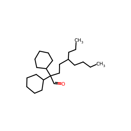 CCCCC(CCC)CCC(C=O)(C1CCCCC1)C1CCCCC1